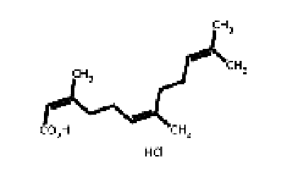 CC(C)=CCCC(C)=CCCC(C)=CC(=O)O.Cl